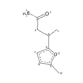 BC(=O)CC(C)c1ccc(C)o1